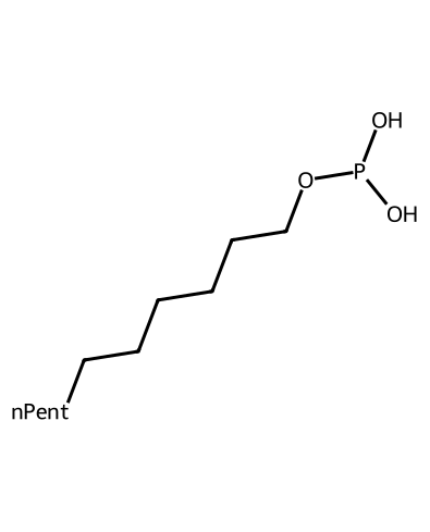 CCCCCCCCCCCOP(O)O